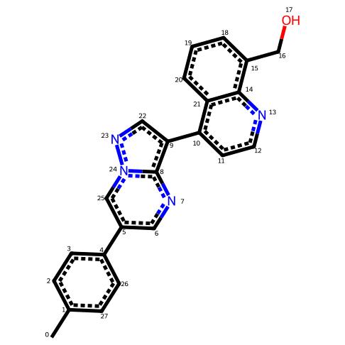 Cc1ccc(-c2cnc3c(-c4ccnc5c(CO)cccc45)cnn3c2)cc1